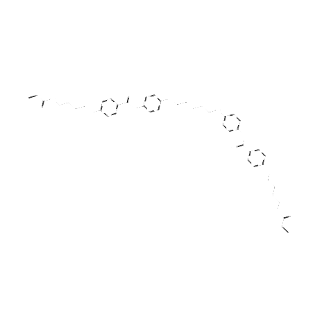 C=CC(=O)OCCCCOc1ccc(C(=O)Oc2ccc(OCCCCCOc3ccc(OC(=O)c4ccc(OCCCCOC(=O)C=C)cc4)cc3)cc2)cc1